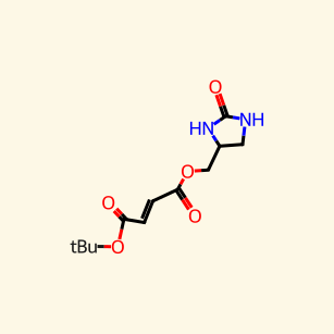 CC(C)(C)OC(=O)/C=C/C(=O)OCC1CNC(=O)N1